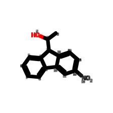 CC(O)C1c2ccccc2-c2cc([N+](=O)[O-])ccc21